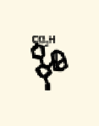 C#Cc1ccc(-c2ccc(C(=O)O)cc2)c(C23CC4CC(CC(C4)C2)C3)c1